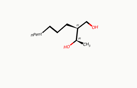 CCCCCCCC[C@@H](CO)[C@@H](C)O